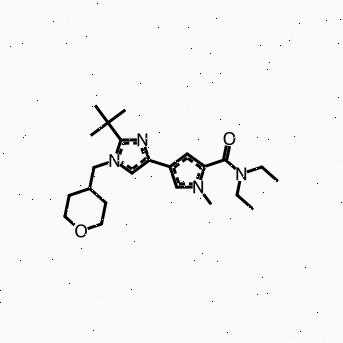 CCN(CC)C(=O)c1cc(-c2cn(CC3CCOCC3)c(C(C)(C)C)n2)cn1C